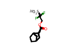 O=C(OCC(F)(F)S(=O)(=O)O)C1CC2CCC1C2